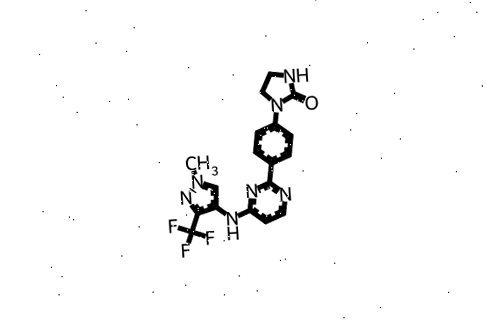 Cn1cc(Nc2ccnc(-c3ccc(N4CCNC4=O)cc3)n2)c(C(F)(F)F)n1